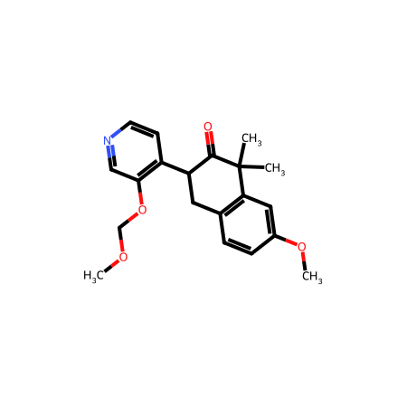 COCOc1cnccc1C1Cc2ccc(OC)cc2C(C)(C)C1=O